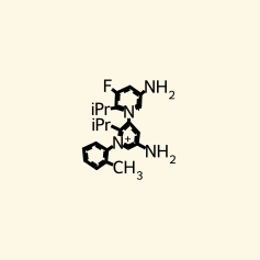 Cc1ccccc1-[n+]1cc(N)cc(-[n+]2cc(N)cc(F)c2C(C)C)c1C(C)C